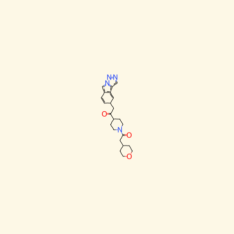 O=C(CC1C=Cc2cn3nncc3c2=C1)C1CCN(C(=O)CC2CCOCC2)CC1